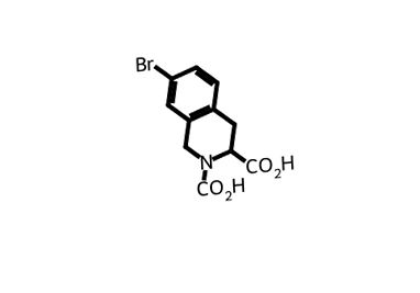 O=C(O)C1Cc2ccc(Br)cc2CN1C(=O)O